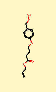 C=CCOC(=O)CCCOc1ccc(COO)cc1